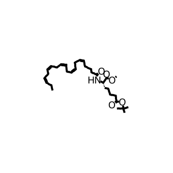 CC/C=C\C/C=C\C/C=C\C/C=C\C/C=C\CCCC(=O)N[C@@H](CCCCC(=O)OC(C)(C)C)C(=O)OC